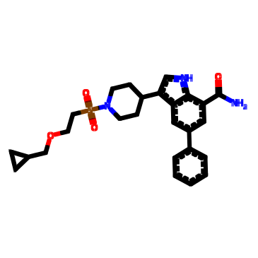 NC(=O)c1cc(-c2ccccc2)cc2c(C3CCN(S(=O)(=O)CCOCC4CC4)CC3)c[nH]c12